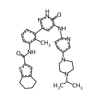 Cc1c(NC(=O)c2cc3c(s2)CCCC3)cccc1-c1cc(Nc2ccc(N3CCN(C(C)C)CC3)cn2)c(=O)[nH]n1